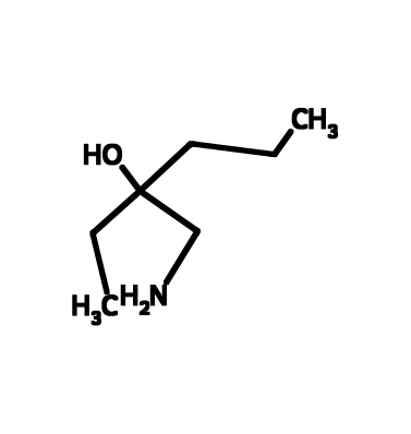 CCCC(O)(CC)CN